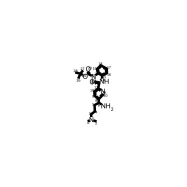 CN(C)CCCC(N)c1ccc(C(=O)Nc2ccccc2NC(=O)OC(C)(C)C)nc1